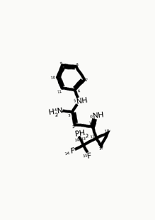 N=C(/C=C(/N)NC1=CC=C=C=C1)C1(C(F)(F)P)CC1